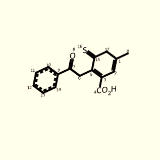 CC1=CC(C(=O)O)=C(CC(=O)c2ccccc2)C(=S)C1